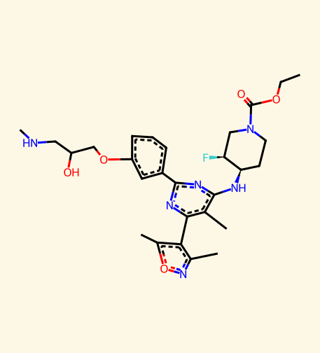 CCOC(=O)N1CC[C@@H](Nc2nc(-c3cccc(OCC(O)CNC)c3)nc(-c3c(C)noc3C)c2C)[C@@H](F)C1